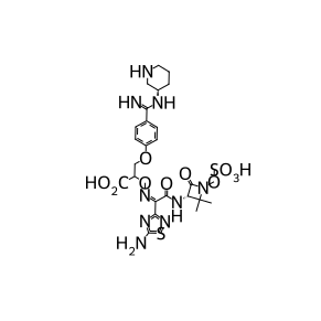 CC1(C)[C@H](NC(=O)/C(=N\OC(COc2ccc(C(=N)N[C@@H]3CCCNC3)cc2)C(=O)O)c2nsc(N)n2)C(=O)N1OS(=O)(=O)O